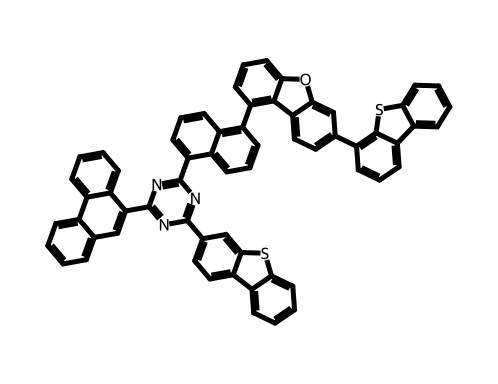 c1ccc2c(c1)cc(-c1nc(-c3ccc4c(c3)sc3ccccc34)nc(-c3cccc4c(-c5cccc6oc7cc(-c8cccc9c8sc8ccccc89)ccc7c56)cccc34)n1)c1ccccc12